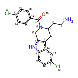 NCCC1Cc2c([nH]c3ccc(Cl)cc23)CN1C(=O)c1ccc(Cl)cc1